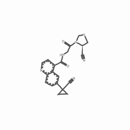 N#C[C@@H]1CSCN1C(=O)CNC(=O)c1ccnc2ccc(C3(C#N)CC3)cc12